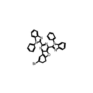 BrC1=Cc2c(oc3c(-c4nc5ccccc5n4-c4ccccc4)nc(-c4nc5ccccc5n4-c4ccccc4)nc23)CC1